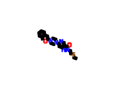 CCSCCNC(=O)c1ccc(N2CCN(C(=O)Cc3ccccc3C)CC2)nc1